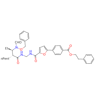 CCCCC[C@@H](C(=O)NCNC(=O)c1ccc(-c2ccc(C(=O)OCCc3ccccc3)cc2)o1)[C@@H](CC)N(C=O)OCc1ccccc1